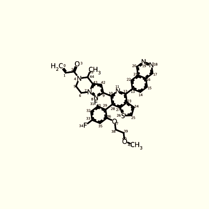 C=CC(=O)N1CCn2nc(-c3nc(-c4ccc5cnncc5c4)c4ccsc4c3-c3c(F)cc(F)cc3OCCOC)cc2C1C